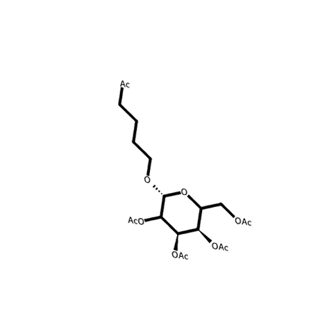 CC(=O)CCCCO[C@@H]1OC(COC(C)=O)[C@@H](OC(C)=O)[C@@H](OC(C)=O)C1OC(C)=O